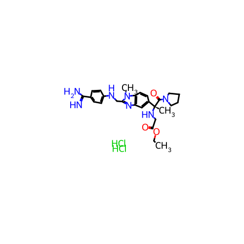 CCOC(=O)CN[C@@](C)(C(=O)N1CCCC1)c1ccc2c(c1)nc(CNc1ccc(C(=N)N)cc1)n2C.Cl.Cl